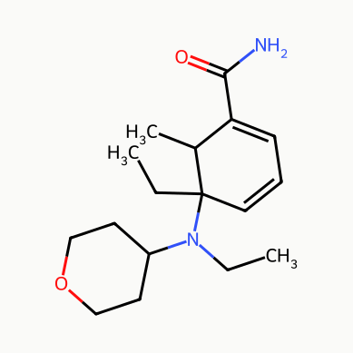 CCN(C1CCOCC1)C1(CC)C=CC=C(C(N)=O)C1C